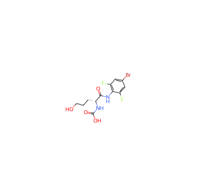 O=C(O)N[C@H](CCCO)C(=O)Nc1c(F)cc(Br)cc1F